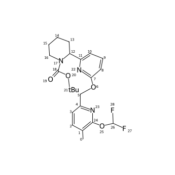 Cc1ccc(COc2cccc(C3CCCCN3C(=O)OC(C)(C)C)n2)nc1OC(F)F